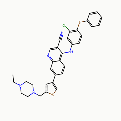 CCN1CCN(Cc2cc(-c3ccc4c(Nc5ccc(Sc6ccccc6)c(Cl)c5)c(C#N)cnc4c3)cs2)CC1